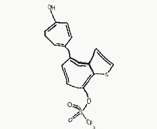 O=S(=O)(Oc1ccc(-c2ccc(O)cc2)c2ccsc12)C(F)(F)F